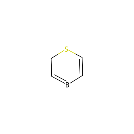 B1=CCSC=C1